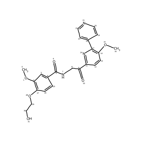 COc1cc(C(=O)NCC(=O)c2ccc(OC)c(-c3ccncc3)n2)ccc1OCCO